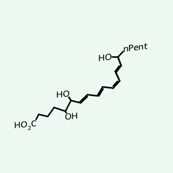 CCCCCC(O)/C=C/C=C\C=C\C=C\C(O)C(O)CCCC(=O)O